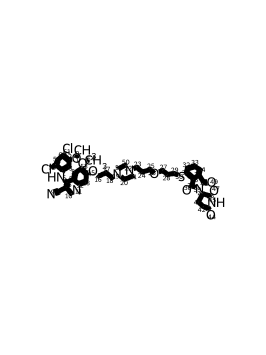 COc1cc(Nc2c(C#N)cnc3cc(OCCCN4CCN(CCCOCCCSc5cccc6c5C(=O)N(C5CCC(=O)NC5=O)C6=O)CC4)c(OC)cc23)c(Cl)cc1Cl